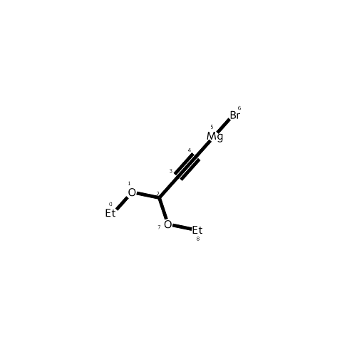 CCOC(C#[C][Mg][Br])OCC